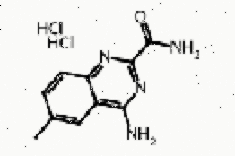 Cc1ccc2nc(C(N)=O)nc(N)c2c1.Cl.Cl